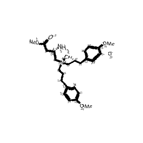 COC(=O)C[C@H](N)C[N+](C)(CCCc1ccc(OC)cc1)CCCc1ccc(OC)cc1.[Cl-]